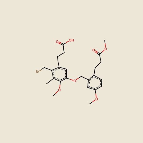 COC(=O)CCc1ccc(OC)cc1COc1cc(CCC(=O)O)c(CBr)c(C)c1OC